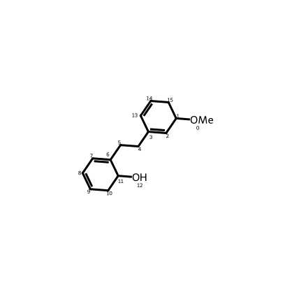 COC1C=C(CCC2=CC=CCC2O)C=CC1